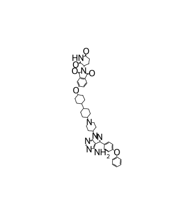 Nc1ncnc2c1c(-c1ccc(Oc3ccccc3)cc1)nn2C1CCN(C2CCC(C3CCC(Oc4ccc5c(c4)C(=O)N(C4CCC(=O)NC4=O)C5=O)CC3)CC2)CC1